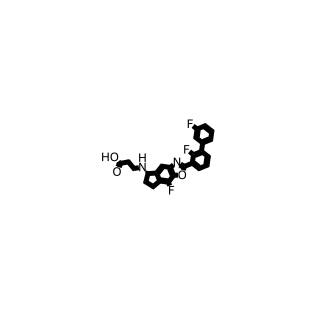 O=C(O)CCN[C@@H]1CCc2c1cc1nc(-c3cccc(-c4cccc(F)c4)c3F)oc1c2F